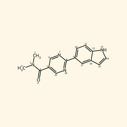 CN(C)C(=O)c1cnc(-c2ccc3[nH]ccc3c2)nc1